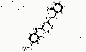 COc1ccc(N/C(N)=N/C(=O)NCc2ccc[nH]c2=O)c(Cl)c1